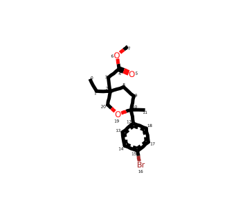 CCC1(CC(=O)OC)CCC(C)(c2ccc(Br)cc2)OC1